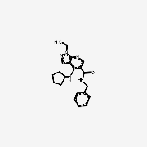 CCn1ncc2c(NC3CCCC3)c(C(=O)NCc3ccccc3)cnc21